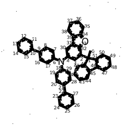 CC1(c2cc(N(c3ccc(-c4ccccc4)cc3)c3ccc(-c4ccccc4)cc3)cc3c2oc2ccccc23)c2ccccc2-c2ccccc21